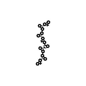 CC1(C)c2ccccc2-c2ccc(-n3c4ccccc4c4cc(-c5ccc6c(c5)c5ccccc5n6-c5ccc6c(c5)C(C)(C)c5cc(-c7nc(-n8c9ccccc9c9cc(-c%10ccc%11c(c%10)c%10ccccc%10n%11-c%10ccc%11c(c%10)C(C)(C)c%10ccccc%10-%11)ccc98)nc8ccccc78)ccc5-6)ccc43)cc21